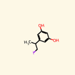 CC(CI)c1cc(O)cc(O)c1